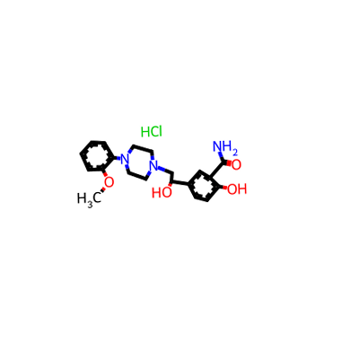 COc1ccccc1N1CCN(CC(O)c2ccc(O)c(C(N)=O)c2)CC1.Cl